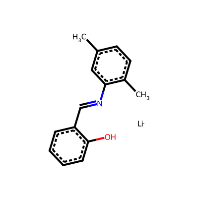 Cc1ccc(C)c(N=Cc2ccccc2O)c1.[Li]